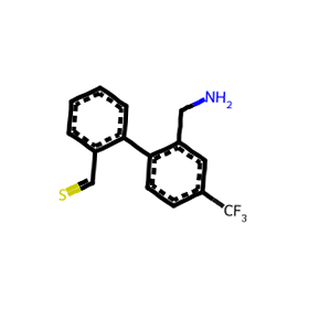 NCc1cc(C(F)(F)F)ccc1-c1ccccc1C=S